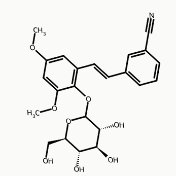 COc1cc(/C=C/c2cccc(C#N)c2)c(OC2O[C@H](CO)[C@@H](O)[C@H](O)[C@H]2O)c(OC)c1